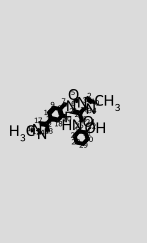 Cc1cn2c(=O)n(Cc3ccc(-c4cnn(C)c4)cc3F)cc(C(=O)N[C@H]3CCCC[C@@H]3O)c2n1